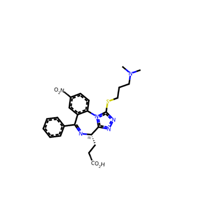 CN(C)CCCSc1nnc2n1-c1ccc([N+](=O)[O-])cc1C(c1ccccc1)=N[C@H]2CCC(=O)O